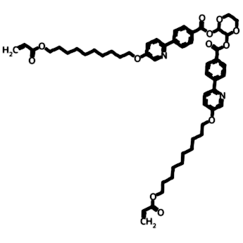 C=CC(=O)OCCCCCCCCCCOc1ccc(-c2ccc(C(=O)OC3OCCOC3OC(=O)c3ccc(-c4ccc(OCCCCCCCCCCOC(=O)C=C)cn4)cc3)cc2)nc1